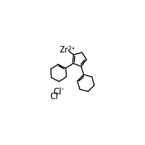 [Cl-].[Cl-].[Zr+2][C]1=C(C2=CCCCC2)C(C2=CCCCC2)=CC1